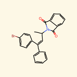 CC(C=C(c1ccccc1)c1ccc(Br)cc1)N1C(=O)c2ccccc2C1=O